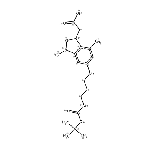 Cc1cc(OCCCNC(=O)OC(C)(C)C)cc2c1C(CC(=O)O)OB2O